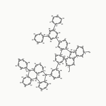 Cc1ccc2c(c1)c1cc(C)ccc1n2-c1ccc(-c2cc(-c3ccccc3)nc(-c3ccccc3)n2)cc1-c1ccc(-c2cccc(N3c4ccccc4B4c5ccccc5N(c5ccccc5)c5cccc3c54)c2)cc1